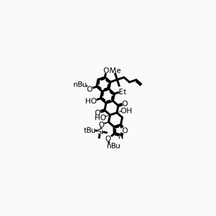 C=CCCC(C)(C)c1c(OC)cc(OCCCC)c2c(O)c3c(c(CC)c12)C(=O)[C@@]1(O)Cc2onc(OCCCC)c2[C@@H](O[Si](C)(C)C(C)(C)C)[C@@]1(O)C3=O